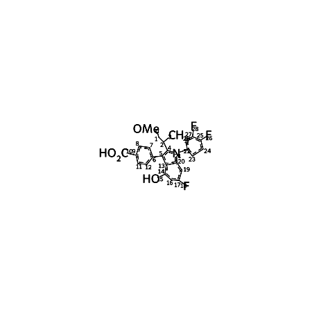 COCC(C)c1c(-c2ccc(C(=O)O)cc2)c2c(O)cc(F)cc2n1-c1ccc(F)c(F)c1